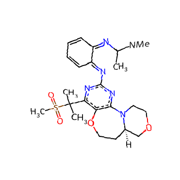 CNC(C)/N=C1/C=CC=C/C1=N\c1nc2c(c(C(C)(C)S(C)(=O)=O)n1)OCC[C@@H]1COCCN21